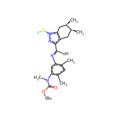 CCC/C(=N\c1cc(N(C)C(=O)OC(C)(C)C)c(C)cc1C)c1nn(SF)c2c1C[C@H](C)[C@H](C)C2